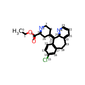 CCOC(=O)C1=NCCC(=C2c3ccc(Cl)cc3CCc3cccnc32)C1